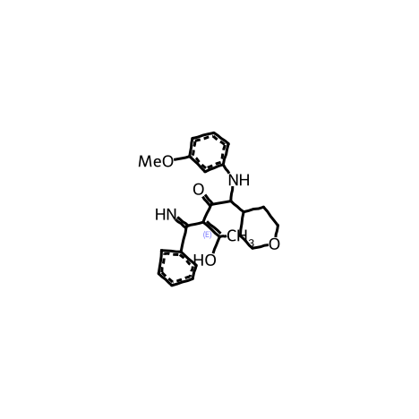 COc1cccc(NC(C(=O)/C(C(=N)c2ccccc2)=C(\C)O)C2CCOCC2)c1